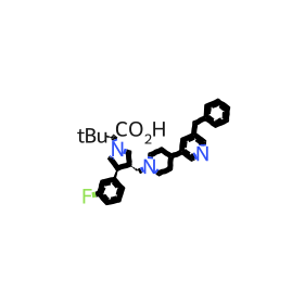 CC(C)(C)[C@H](C(=O)O)N1C[C@H](CN2CCC(c3cncc(Cc4ccccc4)c3)CC2)[C@@H](c2cccc(F)c2)C1